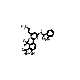 NCCc1cc(Nc2n[nH]c3ccccc23)nc(-c2ccc3[nH][nH]c(=O)c3c2C(F)(F)F)n1